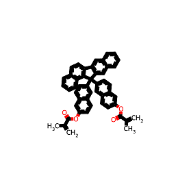 C=C(C)C(=O)Oc1ccc2cc(C3(c4ccc5cc(OC(=O)C(=C)C)ccc5c4)c4cc5ccccc5cc4-c4ccc5ccccc5c43)ccc2c1